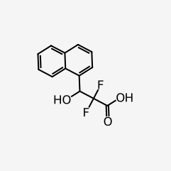 O=C(O)C(F)(F)C(O)c1cccc2ccccc12